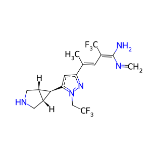 C=N/C(N)=C(\C=C(/C)c1cc([C@H]2[C@@H]3CNC[C@@H]32)n(CC(F)(F)F)n1)C(F)(F)F